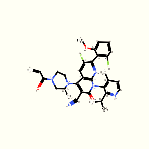 C=CC(=O)N1CCN(c2c(C#N)c(=O)n(-c3c(C)ccnc3C(C)C)c3nc(-c4c(F)cccc4OC)c(F)cc23)[C@@H](C)C1